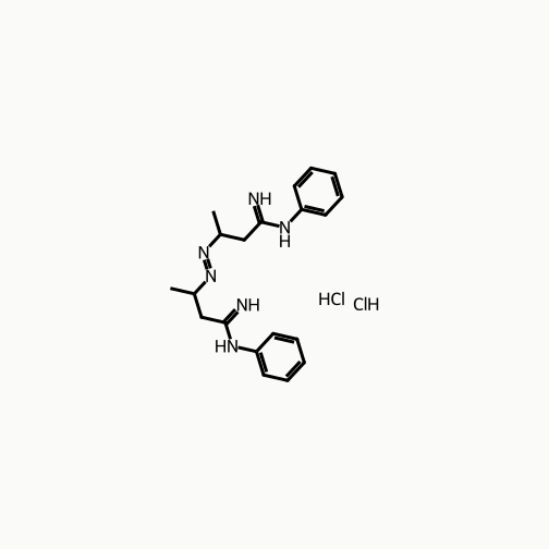 CC(CC(=N)Nc1ccccc1)N=NC(C)CC(=N)Nc1ccccc1.Cl.Cl